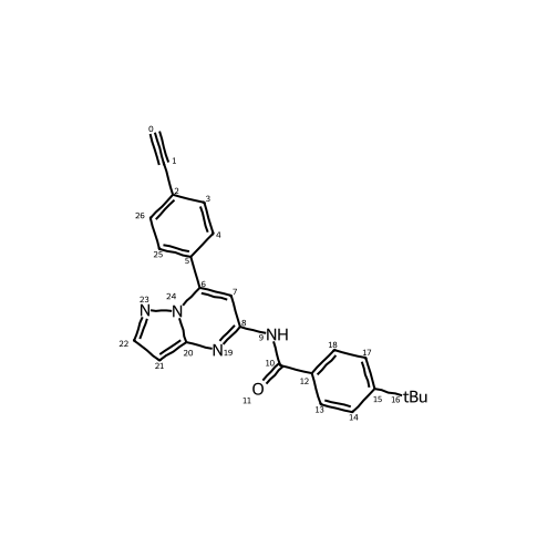 C#Cc1ccc(-c2cc(NC(=O)c3ccc(C(C)(C)C)cc3)nc3ccnn23)cc1